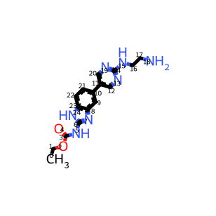 CCOC(=O)Nc1nc2cc(-c3cnc(NCCN)nc3)ccc2[nH]1